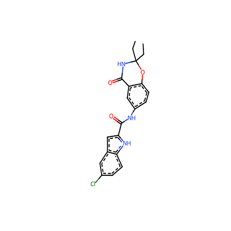 CCC1(CC)NC(=O)c2cc(NC(=O)c3cc4cc(Cl)ccc4[nH]3)ccc2O1